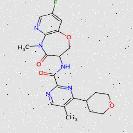 Cc1cnc(C(=O)NC2COc3cc(F)cnc3N(C)C2=O)nc1C1CCOCC1